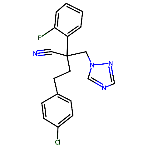 N#CC(CCc1ccc(Cl)cc1)(Cn1cncn1)c1ccccc1F